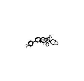 N#Cc1cc(-c2ccc(F)cc2)ccc1CC(C#N)NC(=O)C1(N)CCOCC1